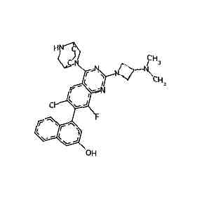 CN(C)C1CN(c2nc(N3CC4CCCC3CN4)c3cc(Cl)c(-c4cc(O)cc5ccccc45)c(F)c3n2)C1